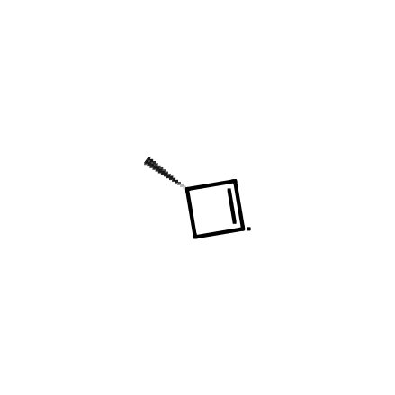 C[C@@H]1C=[C]C1